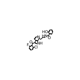 O=C(NCCCc1nccc2c(C(=O)c3c(F)cccc3Cl)c[nH]c12)c1ccccc1O